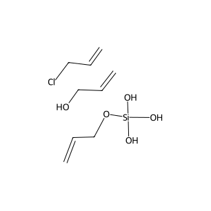 C=CCCl.C=CCO.C=CCO[Si](O)(O)O